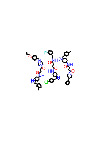 C=CCOc1ccc(CN2CCN(C(=O)CCC(=O)NC3CCC(Cc4cccc(C)c4)(N(C)C)CC3)CC2)cc1.CN(C)C1(Cc2ccc(Cl)cc2)CCC(NC(=O)CCC(=O)NCCc2cccc(F)c2)CC1.Cc1ccc(CC2(N(C)C)CCC(NC(=O)CCC(=O)N3CC=C(c4ccccc4)CC3)CC2)cc1